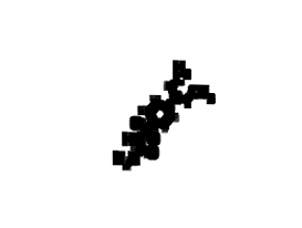 CCN(CC)c1ccc(S(=O)(=O)NC(N)=O)cc1